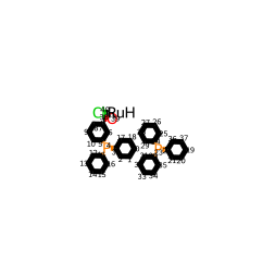 C1CCC(P(C2CCCCC2)C2CCCCC2)CC1.C1CCC(P(C2CCCCC2)C2CCCCC2)CC1.[C]=O.[Cl][RuH]